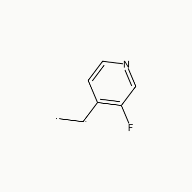 [CH2][CH]c1ccncc1F